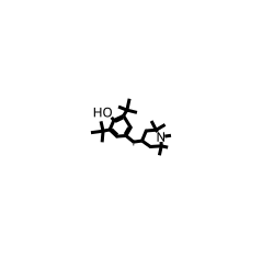 CN1C(C)(C)CC([CH]c2cc(C(C)(C)C)c(O)c(C(C)(C)C)c2)CC1(C)C